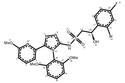 COc1cccc(-c2nnc(NS(=O)(=O)C[C@H](O)c3ccc(F)cc3Br)n2-c2c(OC)cccc2OC)n1